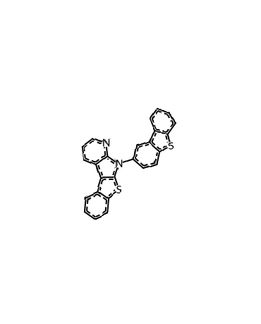 c1ccc2c(c1)sc1ccc(-n3c4ncccc4c4c5ccccc5sc43)cc12